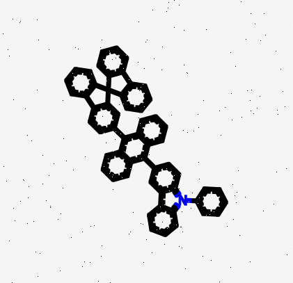 c1ccc(-n2c3ccccc3c3cc(-c4c5ccccc5c(-c5ccc6c(c5)C5(c7ccccc7-c7ccccc75)c5ccccc5-6)c5ccccc45)ccc32)cc1